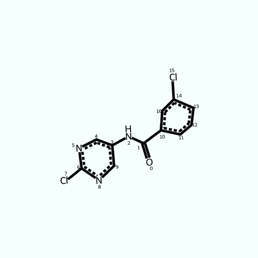 O=C(Nc1cnc(Cl)nc1)c1cccc(Cl)c1